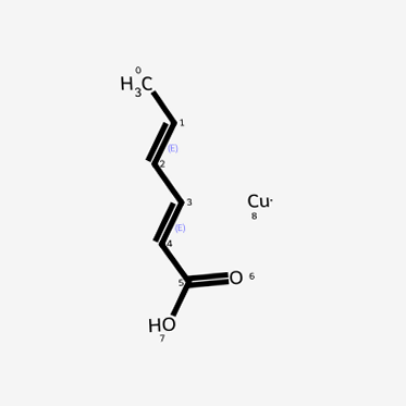 C/C=C/C=C/C(=O)O.[Cu]